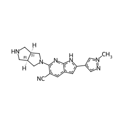 Cn1cc(-c2cc3cc(C#N)c(N4C[C@H]5CNC[C@H]5C4)nc3[nH]2)cn1